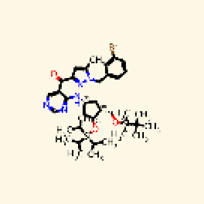 Cc1cc(C(=O)c2cncnc2N[C@@H]2C[C@H](CO[Si](C)(C)C(C)(C)C)[C@@H](O[Si](C(C)C)(C(C)C)C(C)C)C2)nn1Cc1cccc(Br)c1